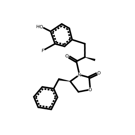 C[C@H](Cc1ccc(O)c(F)c1)C(=O)N1C(=O)OC[C@H]1Cc1ccccc1